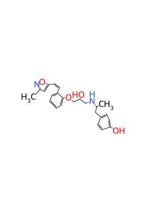 Cc1cc(/C=C\c2ccccc2OCC(O)CNC(C)Cc2ccc(O)cc2)on1